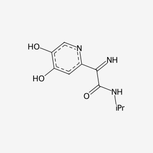 CC(C)NC(=O)C(=N)c1cc(O)c(O)cn1